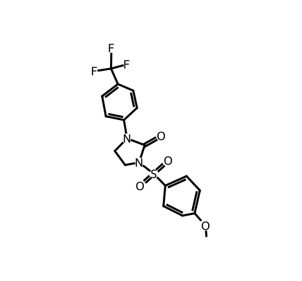 COc1ccc(S(=O)(=O)N2CCN(c3ccc(C(F)(F)F)cc3)C2=O)cc1